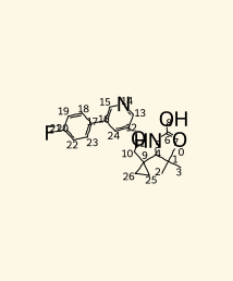 CC(C)(C)C(NC(=O)O)C1(COc2cncc(-c3ccc(F)cc3)c2)CC1